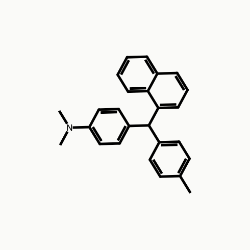 Cc1ccc(C(c2ccc(N(C)C)cc2)c2cccc3ccccc23)cc1